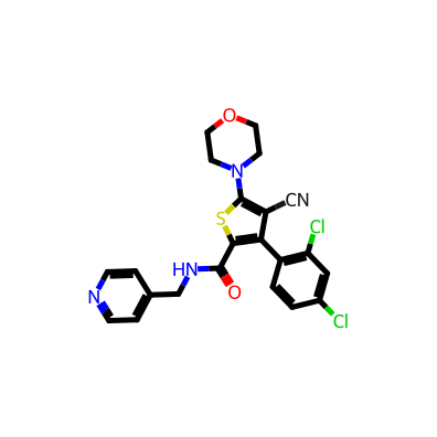 N#Cc1c(N2CCOCC2)sc(C(=O)NCc2ccncc2)c1-c1ccc(Cl)cc1Cl